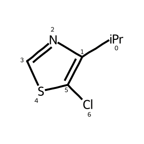 CC(C)c1ncsc1Cl